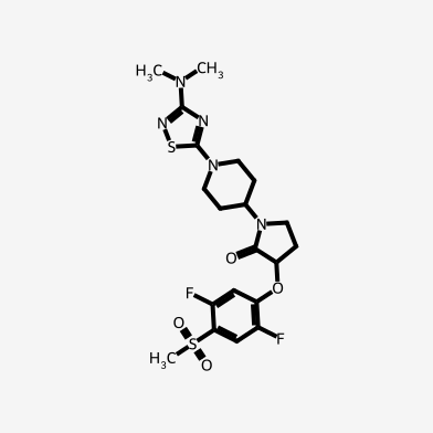 CN(C)c1nsc(N2CCC(N3CCC(Oc4cc(F)c(S(C)(=O)=O)cc4F)C3=O)CC2)n1